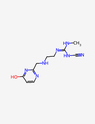 CNC(=NCCNCc1nccc(O)n1)NC#N